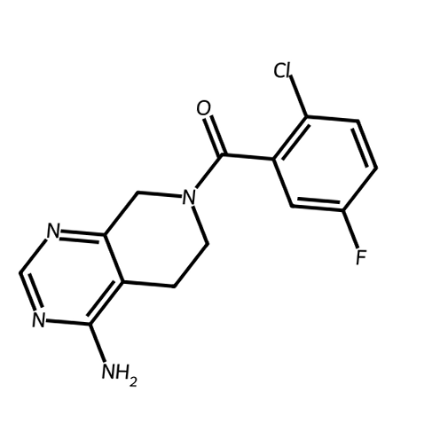 Nc1ncnc2c1CCN(C(=O)c1cc(F)ccc1Cl)C2